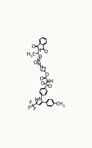 Cc1ccc(-c2cc(C(F)(F)F)nn2-c2ccc(S(=O)(=O)NC(=O)OC3CN(n4on4OC(C)N4C(=O)c5ccccc5C4=O)C3)cc2)cc1